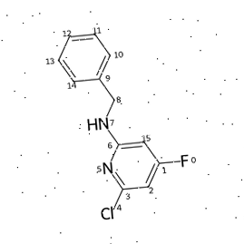 Fc1cc(Cl)nc(NCc2ccccc2)c1